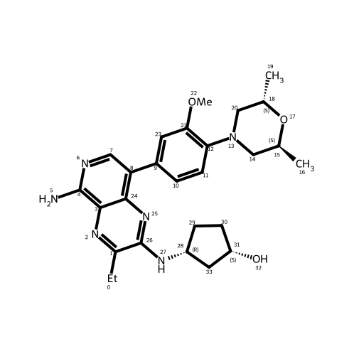 CCc1nc2c(N)ncc(-c3ccc(N4C[C@H](C)O[C@@H](C)C4)c(OC)c3)c2nc1N[C@@H]1CC[C@H](O)C1